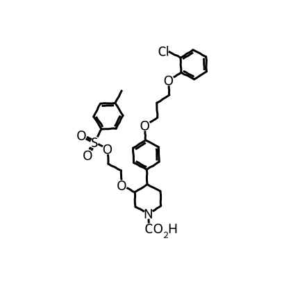 Cc1ccc(S(=O)(=O)OCCOC2CN(C(=O)O)CCC2c2ccc(OCCCOc3ccccc3Cl)cc2)cc1